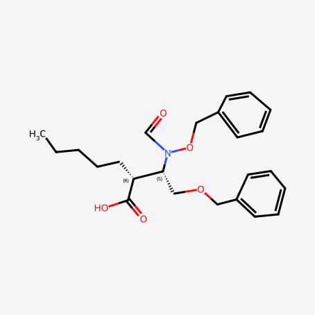 CCCCC[C@@H](C(=O)O)[C@@H](COCc1ccccc1)N(C=O)OCc1ccccc1